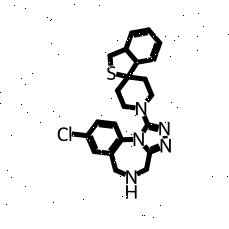 Clc1ccc2c(c1)CNCc1nnc(N3CCC4(CC3)SCC3C=CC=CC34)n1-2